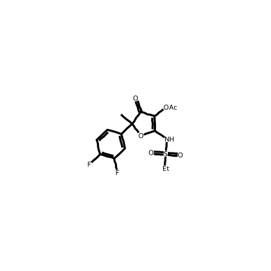 CCS(=O)(=O)NC1=C(OC(C)=O)C(=O)C(C)(c2ccc(F)c(F)c2)O1